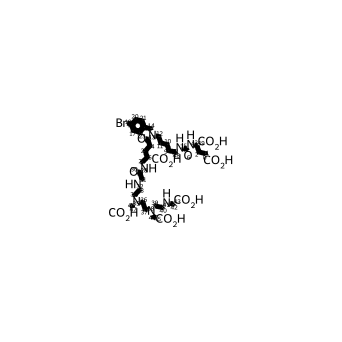 O=C(O)CCC(NC(=O)N[C@@H](CCCCN(Cc1ccc(Br)cc1)C(=O)CCCCNC(=O)CNCCN(CCN(CCNCC(=O)O)CC(=O)O)CC(=O)O)C(=O)O)C(=O)O